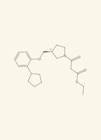 CCOC(=O)CC(=O)N1CC[C@H](COc2ccccc2C2CCCC2)C1